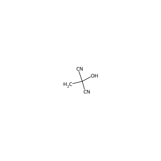 [CH2]C(O)(C#N)C#N